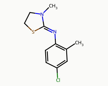 Cc1cc(Cl)ccc1N=C1SCCN1C